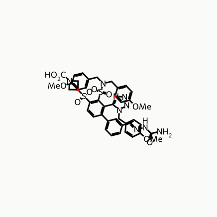 COc1ccc(CN(Cc2ccc(OC)cc2)S(=O)(=O)c2c(S(=O)(=O)C3CN(C(=O)O)C3)ccc(-c3cccc(/C=N/NC(N)=O)c3)c2-c2nnnn2Cc2ccc(OC)cc2)cc1